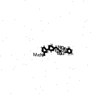 CNCc1cccc(-c2ccc(CC(N=C=O)(OC(C)(C)C)C(=O)OCc3ccccc3)cc2)c1